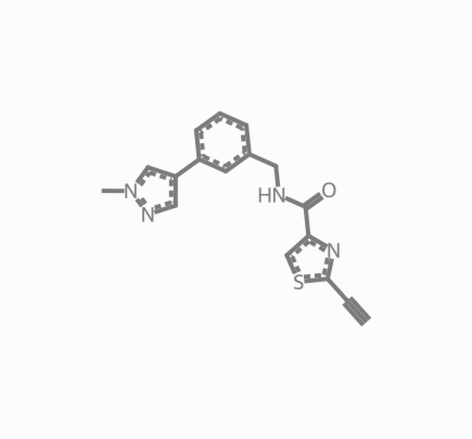 C#Cc1nc(C(=O)NCc2cccc(-c3cnn(C)c3)c2)cs1